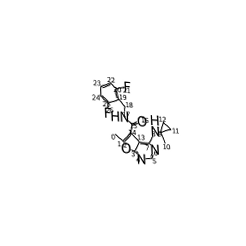 Cc1oc2ncnc(NC3(C)CC3)c2c1C(=O)NCc1c(F)cccc1F